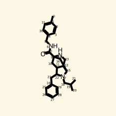 Cc1ccc(CNC(=O)C23CC4C(CN2)C(C3)N(CC(C)C)C4Cc2ccccc2)cc1